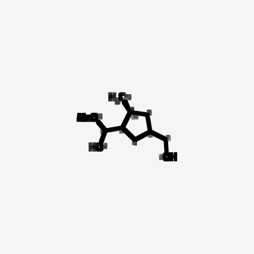 COC(O)C1CC(CO)C[C@@H]1C